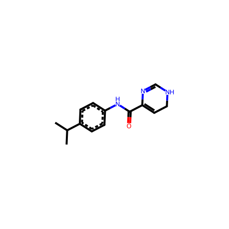 CC(C)c1ccc(NC(=O)C2=CCNC=N2)cc1